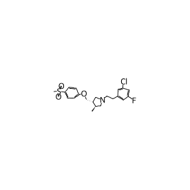 C[C@@H]1CN(CCc2cc(F)cc(Cl)c2)C[C@H]1COc1ccc(S(C)(=O)=O)cc1